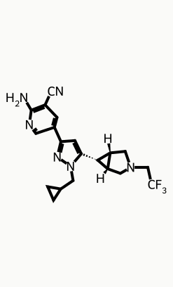 N#Cc1cc(-c2cc([C@@H]3[C@@H]4CN(CC(F)(F)F)C[C@@H]43)n(CC3CC3)n2)cnc1N